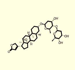 C[C@H]1O[C@@H](O[C@H]2[C@@H](O)C[C@H](O[C@H]3CC[C@@]4(C)[C@H](CC[C@@H]5[C@@H]4CC[C@]4(C)[C@@H](C6=CC(=O)OC6)CC[C@]54O)C3)O[C@@H]2C)C[C@H](O)[C@@H]1O